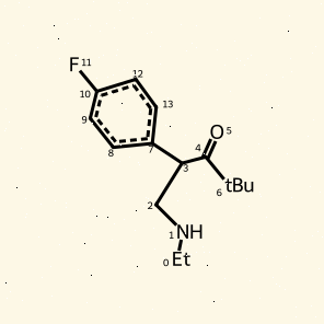 CCNCC(C(=O)C(C)(C)C)c1ccc(F)cc1